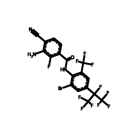 N#Cc1ccc(C(=O)Nc2c(Br)cc(C(F)(C(F)(F)F)C(F)(F)F)cc2C(F)(F)F)c(F)c1N